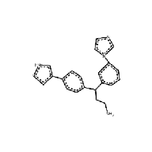 NCCC(c1ccc(-c2cn[nH]c2)cc1)c1cccc(-n2ccnc2)c1